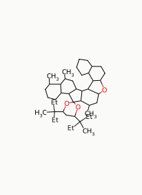 CCC(C)(CC)C1CC(C(C)(CC)CC)OC2(O1)C1C3CCCC(C)C3C(C)CC1C1C3C(CC(C)C12)OC1CCC2CCCCC2C13